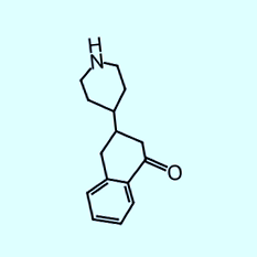 O=C1CC(C2CCNCC2)Cc2ccccc21